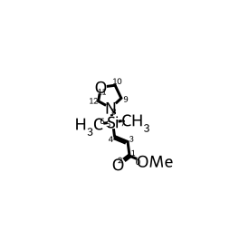 COC(=O)C=C[Si](C)(C)N1CCOC1